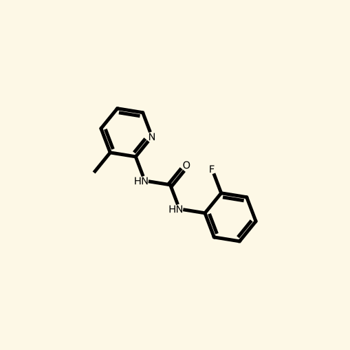 Cc1cccnc1NC(=O)Nc1ccccc1F